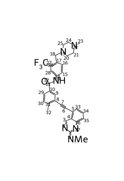 CNc1ncc2c(C#Cc3cc(C(=O)Nc4ccc(CN5CCN(C)CC5)c(C(F)(F)F)c4)ccc3C)cccc2n1